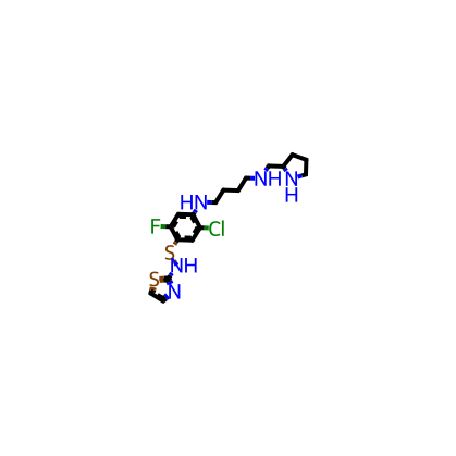 Fc1cc(NCCCCNCC2CCCN2)c(Cl)cc1SNc1nccs1